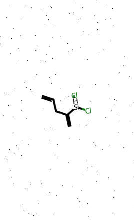 C=CCC(=C)[SiH](Cl)Cl